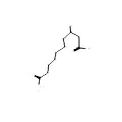 CC(CCCCCCC(=O)O)CC(=O)O